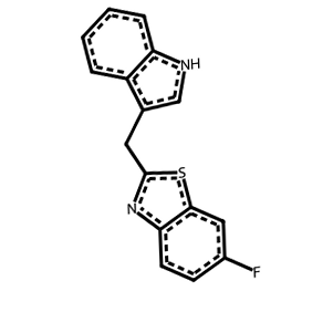 Fc1ccc2nc(Cc3c[nH]c4ccccc34)sc2c1